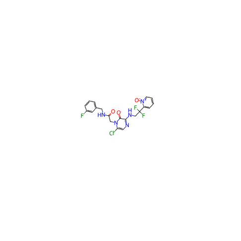 O=C(Cn1c(Cl)cnc(NCC(F)(F)c2cccc[n+]2[O-])c1=O)NCc1cccc(F)c1